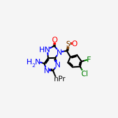 CCCc1nc(N)c2[nH]c(=O)n(C(=S=O)c3ccc(Cl)c(F)c3)c2n1